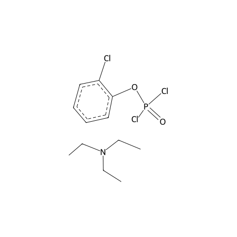 CCN(CC)CC.O=P(Cl)(Cl)Oc1ccccc1Cl